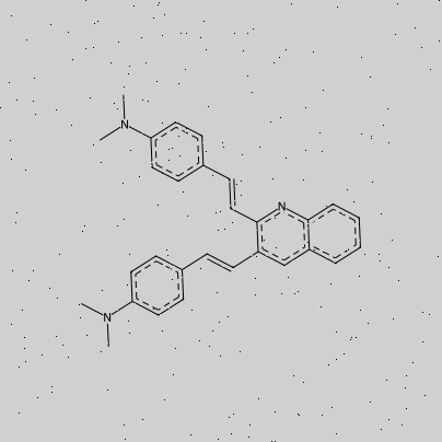 CN(C)c1ccc(C=Cc2cc3ccccc3nc2C=Cc2ccc(N(C)C)cc2)cc1